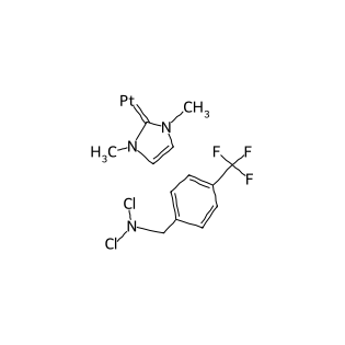 Cn1ccn(C)[c]1=[Pt].FC(F)(F)c1ccc(CN(Cl)Cl)cc1